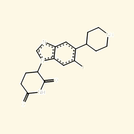 O=C1CCC(n2cnc3cc(C4CCNCC4)c(F)cc32)C(=O)N1